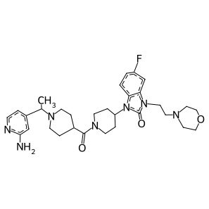 CC(c1ccnc(N)c1)N1CCC(C(=O)N2CCC(n3c(=O)n(CCN4CCOCC4)c4cc(F)ccc43)CC2)CC1